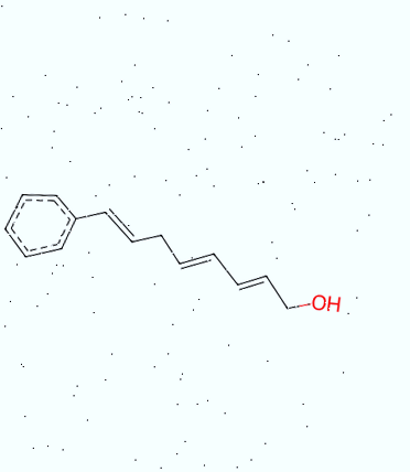 OC/C=C/C=C/CC=Cc1ccccc1